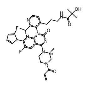 C=CC(=O)N1CCN(c2nc(=O)n(-c3c(CCCNC(=O)C(C)(C)O)ccnc3C(C)C)c3nc(C4C=CC=C4F)c(F)cc23)[C@@H](C)C1